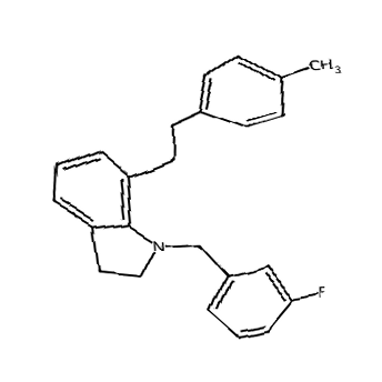 Cc1ccc(CCc2cccc3c2N(Cc2cccc(F)c2)CC3)cc1